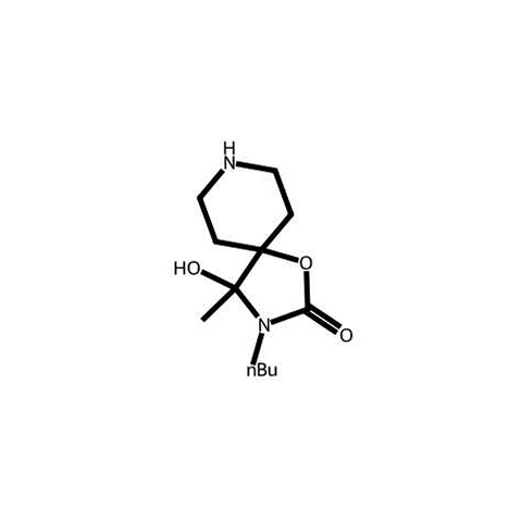 CCCCN1C(=O)OC2(CCNCC2)C1(C)O